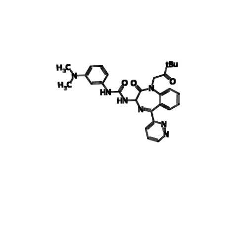 CN(C)c1cccc(NC(=O)NC2N=C(c3cccnn3)c3ccccc3N(CC(=O)C(C)(C)C)C2=O)c1